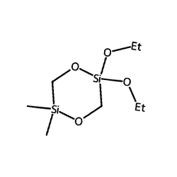 CCO[Si]1(OCC)CO[Si](C)(C)CO1